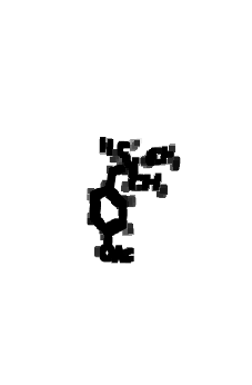 CC(=O)Oc1ccc(C[N+](C)(C)C)cc1